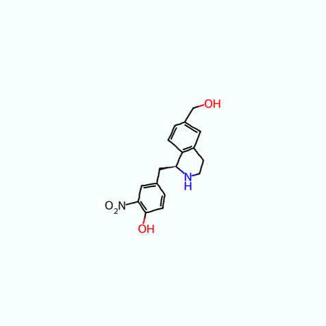 O=[N+]([O-])c1cc(C[C@@H]2NCCc3cc(CO)ccc32)ccc1O